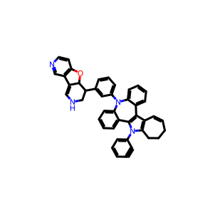 c1cccc(-n2c3c(c4c2-c2ccccc2N(c2cccc(C5CNC=C6c7cnccc7OC65)c2)c2ccccc2-4)C=CCCC3)c#1